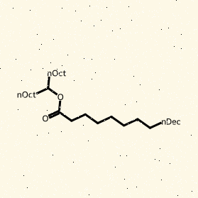 CCCCCCCCCCCCCCCCCC(=O)OC(CCCCCCCC)CCCCCCCC